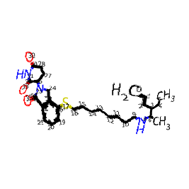 C=CCC(CC)C(C)NCCCCCCCCSc1cccc2c1CN(C1CCC(=O)NC1=O)C2=O